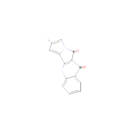 Cc1cc2n(c1)C(=O)c1c-2[nH]c2ccccc2c1=O